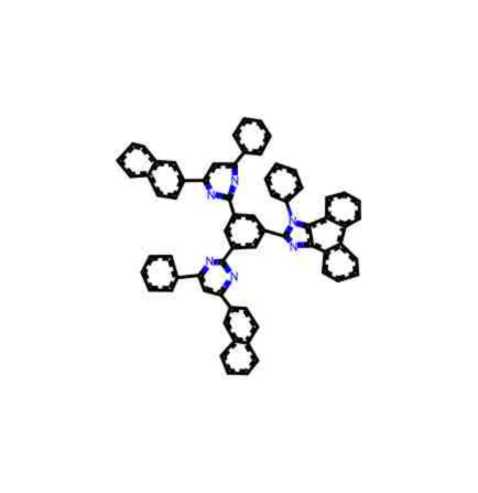 c1ccc(-c2cc(-c3ccc4ccccc4c3)nc(-c3cc(-c4nc(-c5ccccc5)cc(-c5ccc6ccccc6c5)n4)cc(-c4nc5c6ccccc6c6ccccc6c5n4-c4ccccc4)c3)n2)cc1